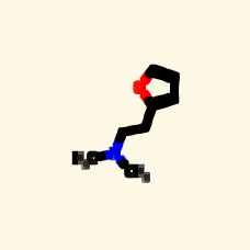 CN(C)CCc1ccco1